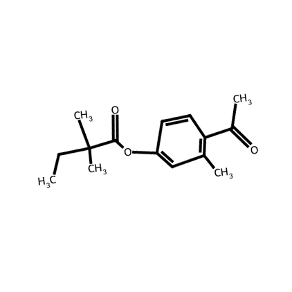 CCC(C)(C)C(=O)Oc1ccc(C(C)=O)c(C)c1